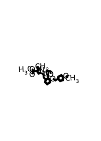 COC(=O)c1cc(CCc2cccc(OCc3ccc(OC)cc3)c2C2OCCO2)nn1C